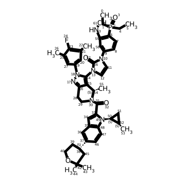 CCP(=O)(CC)c1ccc(-n2ccn(-c3c4c(nn3-c3cc(C)c(F)c(C)c3)CCN(C(=O)c3cc5cc([C@H]6CCOC(C)(C)C6)ccc5n3[C@H]3C[C@@H]3C)[C@H]4C)c2=O)cc1NC